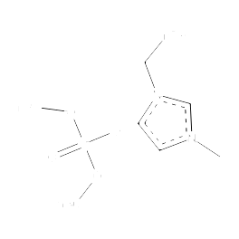 CCCCCCCCCCCn1cc[n+](C)c1.CCCCOP(=O)([O-])OCCCC